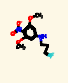 COc1cc(NCCCF)cc(OC)c1[N+](=O)[O-]